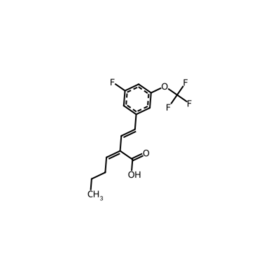 CCC/C=C(/C=C/c1cc(F)cc(OC(F)(F)F)c1)C(=O)O